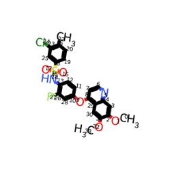 COc1cc2nccc(Oc3ccc(NS(=O)(=O)c4ccc(C)c(Cl)c4)c(F)c3)c2cc1OC